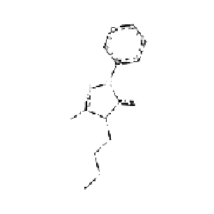 CCCCC1C(=O)N(c2ccccc2)N=C1C